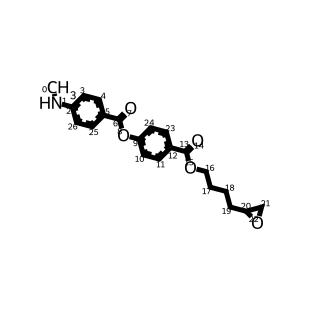 CNc1ccc(C(=O)Oc2ccc(C(=O)OCCCCC3CO3)cc2)cc1